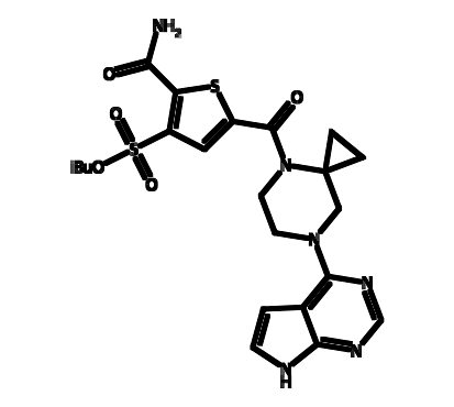 CC(C)COS(=O)(=O)c1cc(C(=O)N2CCN(c3ncnc4[nH]ccc34)CC23CC3)sc1C(N)=O